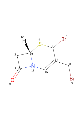 O=C1C[C@@H]2SC(Br)C(CBr)=CN12